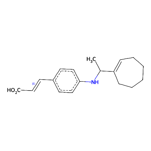 CC(Nc1ccc(/C=C/C(=O)O)cc1)C1=CCCCCC1